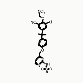 CC(C)(c1ccc(OCc2ccnc(NS(C)(=O)=O)n2)cc1)c1cc(Cl)c(OCC(Cl)(Cl)Cl)c(C#N)c1